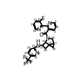 O=C(c1cccnc1-c1ncccc1F)N1CC2CC23CC(Nc2ccc(C(F)(F)F)cn2)C13